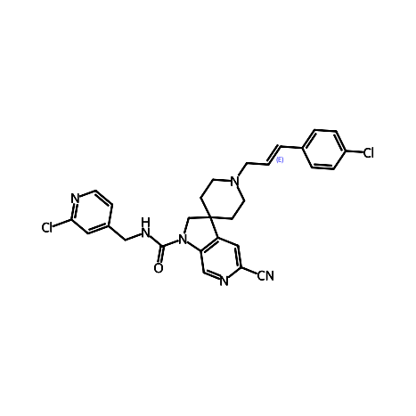 N#Cc1cc2c(cn1)N(C(=O)NCc1ccnc(Cl)c1)CC21CCN(C/C=C/c2ccc(Cl)cc2)CC1